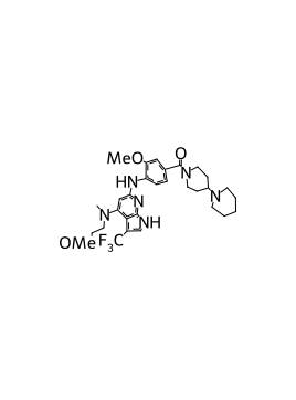 COCCN(C)c1cc(Nc2ccc(C(=O)N3CCC(N4CCCCC4)CC3)cc2OC)nc2[nH]cc(C(F)(F)F)c12